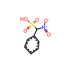 O=[N+]([O-])C(c1ccccc1)S(=O)(=O)O